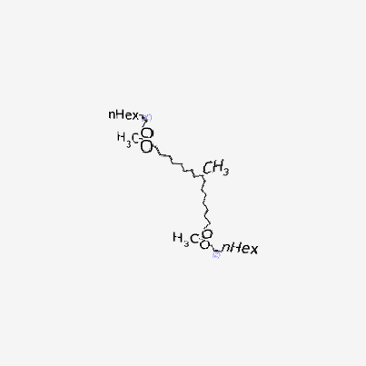 CCCCCC/C=C\COC(C)OCCCCCCCCC(C)CCCCCCCCOC(C)OC/C=C\CCCCCC